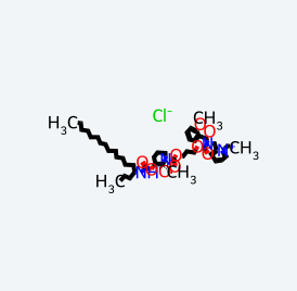 CCCCCCCCCCCCCCC(CCC)NC(=O)OC1CCCN(C(=O)OCCCOC(=O)N(Cc2cccc[n+]2CC)C(=O)c2ccccc2OC)[C@@H]1OC.[Cl-]